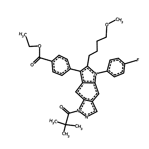 CCOC(=O)c1ccc(-c2c(CCCCOC)n(-c3ccc(F)cc3)c3cc4cnn(C(=O)C(C)(C)C)c4cc23)cc1